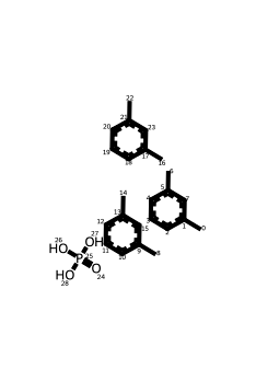 Cc1cccc(C)c1.Cc1cccc(C)c1.Cc1cccc(C)c1.O=P(O)(O)O